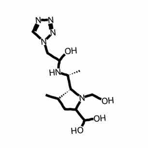 CC1CC(C(O)O)N(CO)[C@H]1[C@@H](C)NC(O)Cn1cnnn1